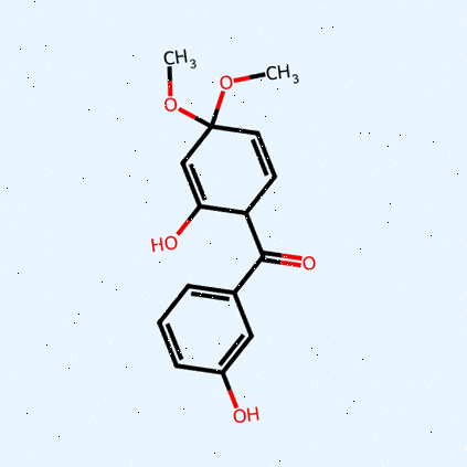 COC1(OC)C=CC(C(=O)c2cccc(O)c2)C(O)=C1